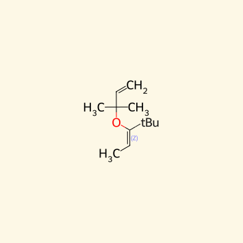 C=CC(C)(C)O/C(=C\C)C(C)(C)C